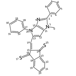 Cn1c(-c2ccccc2)nc2c1cc(C=C1C(=S)c3ccccc3C1=S)n2-c1ccccc1